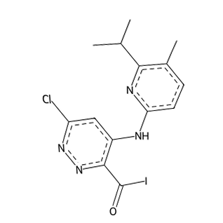 Cc1ccc(Nc2cc(Cl)nnc2C(=O)I)nc1C(C)C